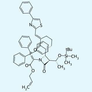 C=CCOC(=O)C(N1C(=O)[C@H]([C@@H](C)O[Si](C)(C)C(C)(C)C)[C@H]1[C@H]1CCCC(=Cc2nc(-c3ccccc3)cs2)C1=O)=P(c1ccccc1)(c1ccccc1)c1ccccc1